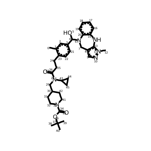 Cc1cc(C(O)N2Cc3cnn(C)c3Nc3ccccc32)ccc1CCC(=O)N(CC1CCN(C(=O)OC(C)(C)C)CC1)C1CC1